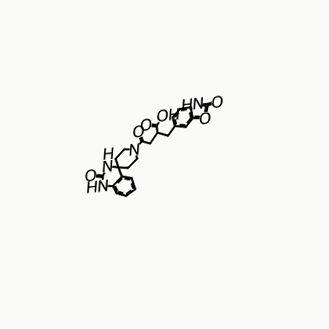 O=C1Nc2ccccc2C2(CCN(C(=O)CC(Cc3ccc4[nH]c(=O)oc4c3)C(=O)O)CC2)N1